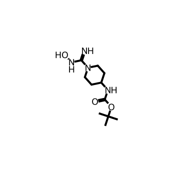 CC(C)(C)OC(=O)NC1CCN(C(=N)NO)CC1